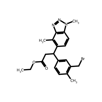 CCOC(=O)CC(c1ccc(C)c(CBr)c1)c1ccc2c(nnn2C)c1C